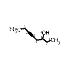 CCC#CCC(O)CC